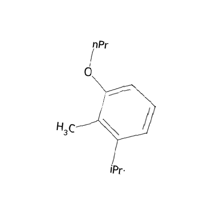 CCCOc1cccc([C](C)C)c1C